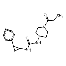 CCC(=O)N1CCC(NC(=O)NC2CC2c2ccccc2)CC1